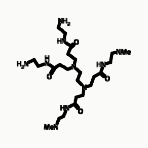 CNCCNC(=O)CCN(CCC(=O)NCCNC)CCN(CCC(=O)NCCN)CCC(=O)NCCN